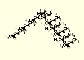 CCO.CCOC(C)=O.CCOC(C)=O.CCOC(C)=O.CCOC(C)=O.CCOC(C)=O.CCOC(C)=O.CCOC(C)=O.CCOC(C)=O.CCOC(C)=O